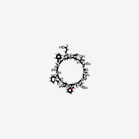 CCCCN1CC(=O)N(C)[C@@H](C(C)C)C(=O)N[C@@H](COC(C)(C)C)C(=O)N(C)[C@@H](Cc2ccccc2)C(=O)N(C)C(CC(C)C)C(=O)N[C@H](C(=O)N2CCCCC2)CC(O)N[C@H](C(C)C)C(=O)N(C)[C@@H](Cc2ccccc2)C(=O)N[C@@H](COCC[C@H](C)O)C(=O)N(C)[C@@H](CC(C)C)C(=O)N[C@@H]([C@@H](C)O)C1=O